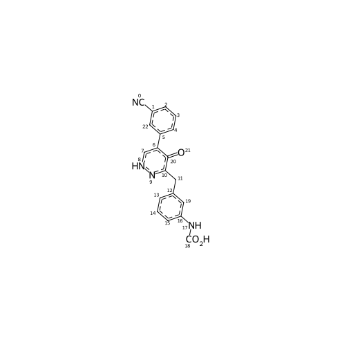 N#Cc1cccc(-c2c[nH]nc(Cc3cccc(NC(=O)O)c3)c2=O)c1